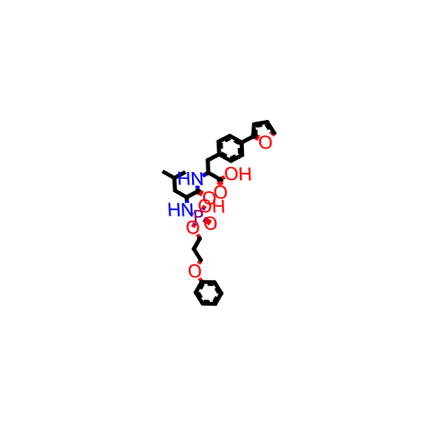 CC(C)CC(NP(=O)(O)OCCCOc1ccccc1)C(=O)NC(Cc1ccc(-c2ccco2)cc1)C(=O)O